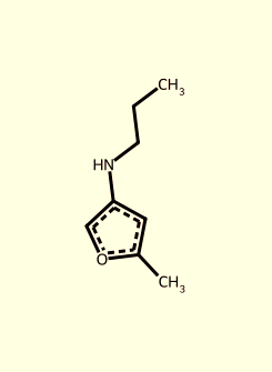 CCCNc1coc(C)c1